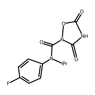 CC(C)N(C(=O)n1oc(=O)[nH]c1=O)c1ccc(F)cc1